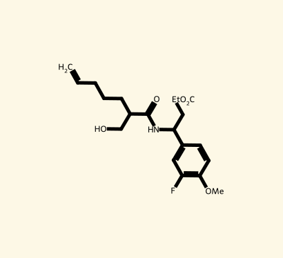 C=CCCCC(CO)C(=O)NC(CC(=O)OCC)c1ccc(OC)c(F)c1